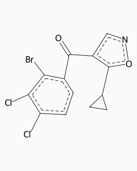 O=C(c1cnoc1C1CC1)c1ccc(Cl)c(Cl)c1Br